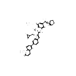 COc1cc(C(=O)N2CC3CCC2C3N)cc2nc(-c3cc4ccc(-c5ccc6[nH]c(=O)ccc6c5)cc4n3CC3CC3)n(C)c12